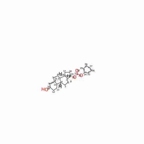 C[C@]12CC[C@H]3[C@@H](CCC4=C[C@H](O)CC[C@@]43C)[C@@H]1CC[C@@H]2OC(=O)Oc1ccccc1